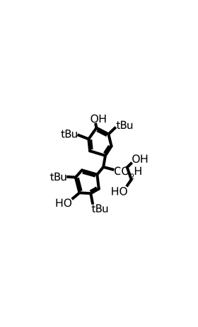 CC(C)(C)c1cc(C(C(=O)O)c2cc(C(C)(C)C)c(O)c(C(C)(C)C)c2)cc(C(C)(C)C)c1O.OCCO